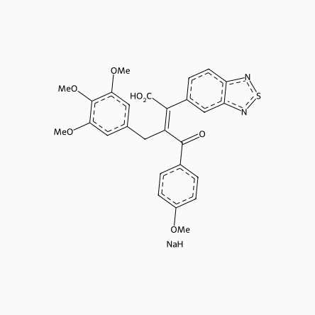 COc1ccc(C(=O)C(Cc2cc(OC)c(OC)c(OC)c2)=C(C(=O)O)c2ccc3nsnc3c2)cc1.[NaH]